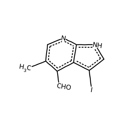 Cc1cnc2[nH]cc(I)c2c1C=O